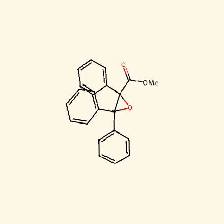 COC(=O)C1(c2ccccc2)OC1(c1ccccc1)c1ccccc1